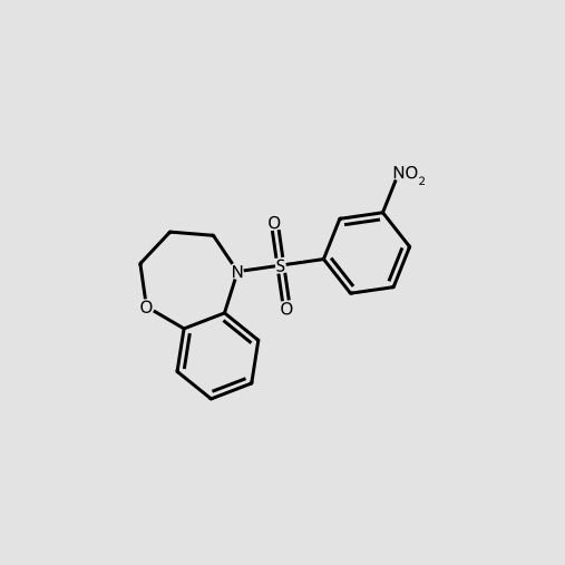 O=[N+]([O-])c1cccc(S(=O)(=O)N2CCCOc3ccccc32)c1